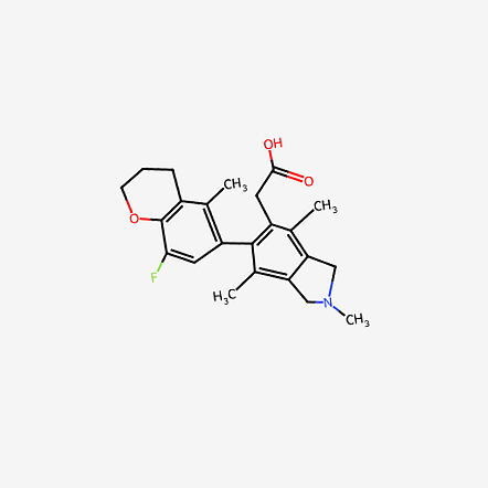 Cc1c(-c2c(C)c3c(c(C)c2CC(=O)O)CN(C)C3)cc(F)c2c1CCCO2